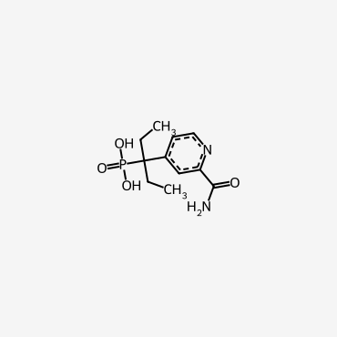 CCC(CC)(c1ccnc(C(N)=O)c1)P(=O)(O)O